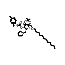 CCCCCCCCCCCCOC[C@@]12O[C@@H](CN3CCCC3)[C@@H](OC(=O)Nc3ccc(C)cc3)[C@@H]1OC(C)(C)O2